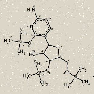 C[Si](C)(C)OCC1OC(c2cnc(N)nc2O[Si](C)(C)C)C(O)C1O[Si](C)(C)C